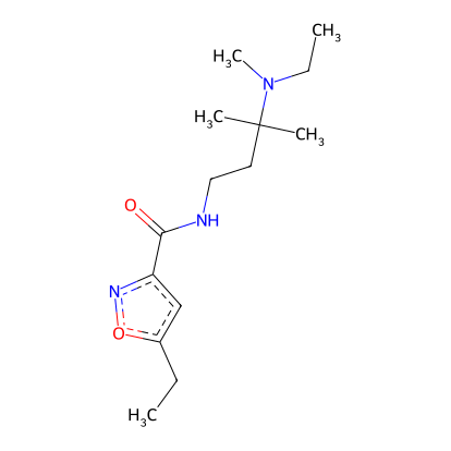 CCc1cc(C(=O)NCCC(C)(C)N(C)CC)no1